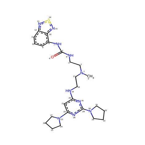 CN(CCNC(=O)Nc1cccc2nsnc12)CCNc1cc(N2CCCC2)nc(N2CCCC2)n1